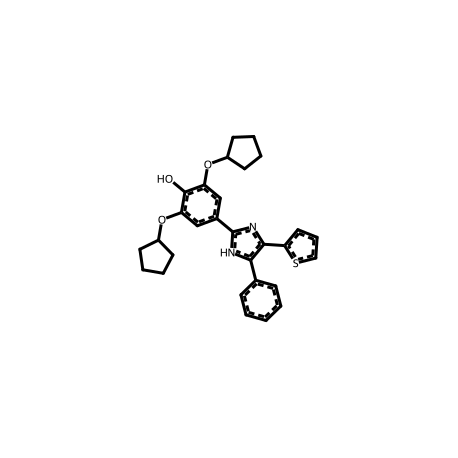 Oc1c(OC2CCCC2)cc(-c2nc(-c3cccs3)c(-c3ccccc3)[nH]2)cc1OC1CCCC1